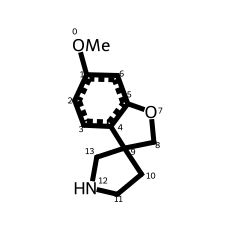 COc1ccc2c(c1)OCC21CCNC1